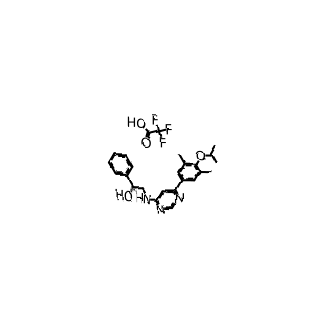 Cc1cc(-c2cc(NC[C@H](O)c3ccccc3)ncn2)cc(C)c1OC(C)C.O=C(O)C(F)(F)F